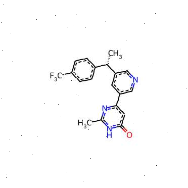 Cc1nc(-c2cncc([C@@H](C)c3ccc(C(F)(F)F)cc3)c2)cc(=O)[nH]1